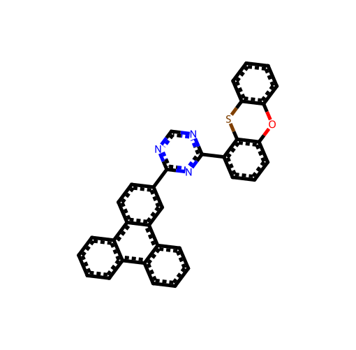 c1ccc2c(c1)Oc1cccc(-c3ncnc(-c4ccc5c6ccccc6c6ccccc6c5c4)n3)c1S2